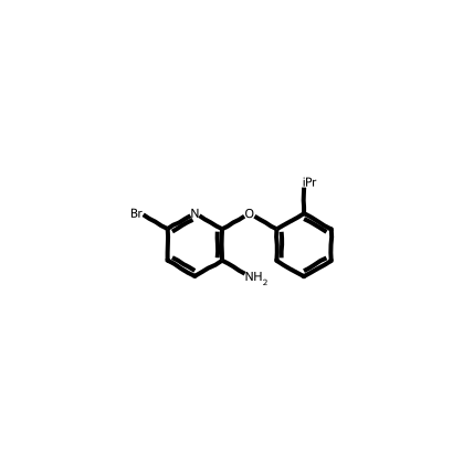 CC(C)c1ccccc1Oc1nc(Br)ccc1N